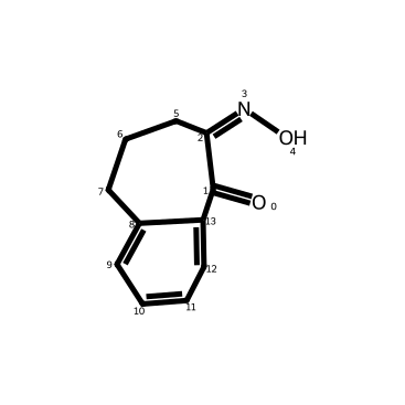 O=C1C(=NO)CCCc2ccccc21